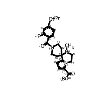 CC(C)Oc1ccc(C(=O)N2CCC3(CC2)c2ccc(C(=O)C(C)(C)C)n2CCN3C)c(F)c1